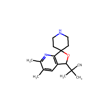 Cc1cc2c(nc1C)C1(CCNCC1)OC2C(C)(C)C#N